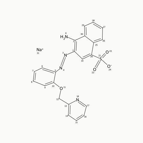 Nc1c(N=Nc2ccccc2OCc2ccccn2)cc(S(=O)(=O)[O-])c2ccccc12.[Na+]